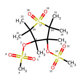 CC1(OS(C)(=O)=O)C(C)(OS(C)(=O)=O)C(C)(C)S(=O)(=O)C1(C)C